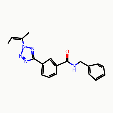 C/C=C(/C)n1nnc(-c2cccc(C(=O)NCc3ccccc3)c2)n1